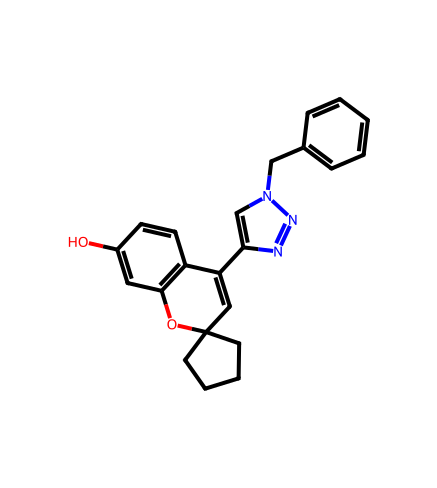 Oc1ccc2c(c1)OC1(C=C2c2cn(Cc3ccccc3)nn2)CCCC1